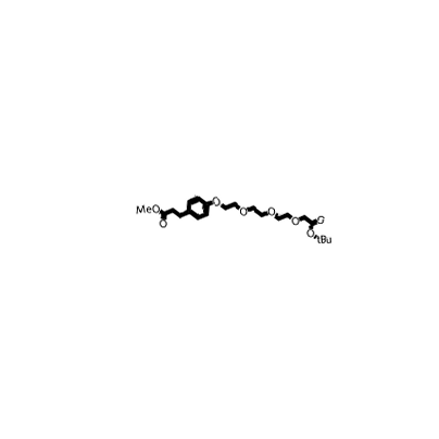 COC(=O)CCc1ccc(OCCOCCOCCOCC(=O)OC(C)(C)C)cc1